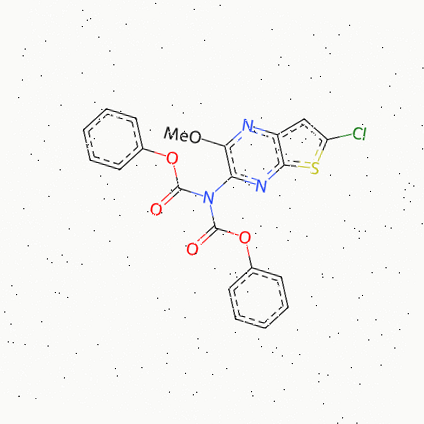 COc1nc2cc(Cl)sc2nc1N(C(=O)Oc1ccccc1)C(=O)Oc1ccccc1